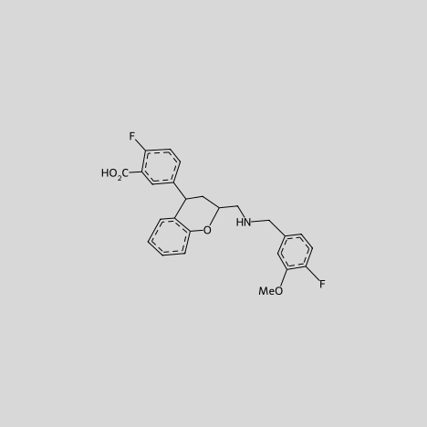 COc1cc(CNCC2CC(c3ccc(F)c(C(=O)O)c3)c3ccccc3O2)ccc1F